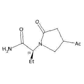 CC[C@@H](C(N)=O)N1CC(C(C)=O)CC1=O